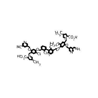 Cc1c(COc2cc(OCc3cncc(C#N)c3)c(CN3C[C@@H](C)C[C@H]3C(=O)O)cc2Cl)cccc1-c1cccc(COc2cc(OCc3cncc(C=N)c3)c(CN3C[C@@H](C)C[C@H]3C(=O)O)cc2Cl)c1C